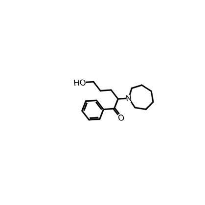 O=C(c1ccccc1)C(CCCO)N1CCCCCC1